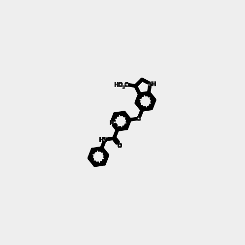 O=C(Nc1ccccc1)c1cc(Oc2ccc3c(c2)C(C(=O)O)CN3)ccn1